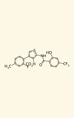 Cc1ccc(-c2csc(NC(=O)c3ccc(C(F)(F)F)cc3O)c2C(=O)O)c(F)c1